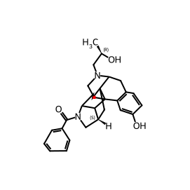 C[C@@H](O)CN1CCC23c4cc(O)ccc4CC1C21CCC2C3[C@@H](CN2C(=O)c2ccccc2)C1